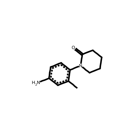 Cc1cc(N)ccc1N1CCCCC1=O